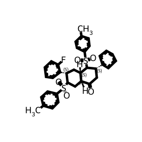 Cc1ccc(S(=O)(=O)C2C[C@H]3C(=O)C[C@@H](c4ccccc4)C(S(=O)(=O)c4ccc(C)cc4)[C@H]3C[C@H]2c2ccccc2F)cc1